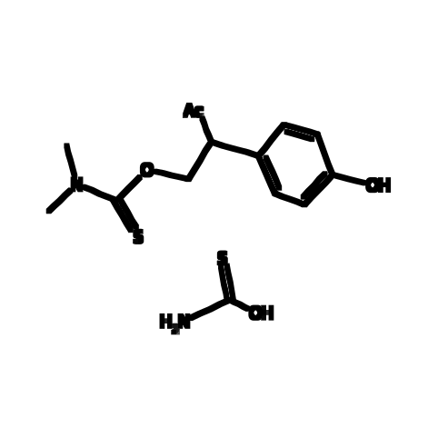 CC(=O)C(COC(=S)N(C)C)c1ccc(O)cc1.NC(O)=S